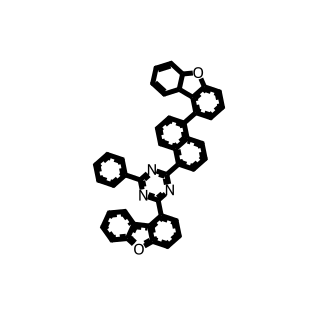 C1=CC2Oc3cccc(-c4cccc5c(-c6nc(-c7ccccc7)nc(-c7cccc8oc9ccccc9c78)n6)cccc45)c3C2C=C1